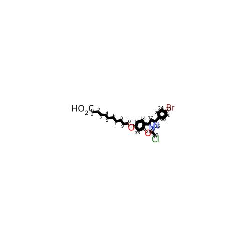 O=C(O)CCCCCCCCCCOc1ccc(C2CC(c3ccc(Br)cc3)=NN2C(=O)CCl)cc1